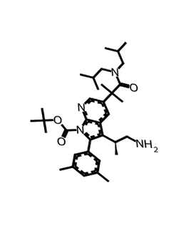 Cc1cc(C)cc(-c2c([C@H](C)CN)c3cc(C(C)(C)C(=O)N(CC(C)C)CC(C)C)cnc3n2C(=O)OC(C)(C)C)c1